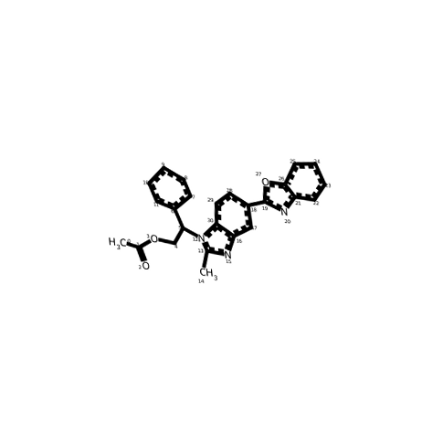 CC(=O)OCC(c1ccccc1)n1c(C)nc2cc(-c3nc4ccccc4o3)ccc21